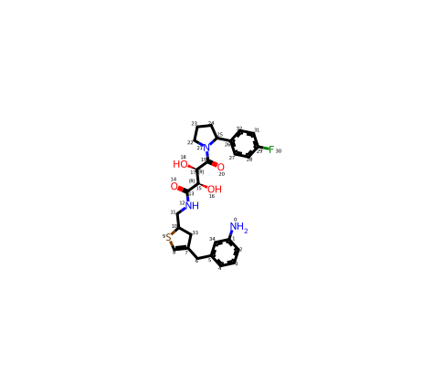 Nc1cccc(CC2=CSC(CNC(=O)[C@H](O)[C@@H](O)C(=O)N3CCCC3c3ccc(F)cc3)C2)c1